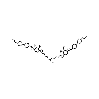 C/C=C/C1CCC(C2CCC(COc3ccc(OCCCCCC(CC)CCCCCOc4ccc(OCC5CCC(C6CCC(/C=C/C)CC6)CC5)c(F)c4F)c(F)c3F)CC2)CC1